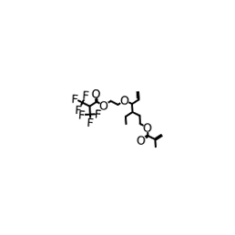 C=CC(OCCOC(=O)C(C(F)(F)F)C(F)(F)F)C(CC)CCOC(=O)C(=C)C